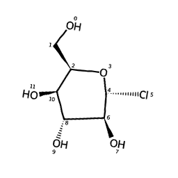 OC[C@H]1O[C@H](Cl)[C@@H](O)[C@H](O)[C@H]1O